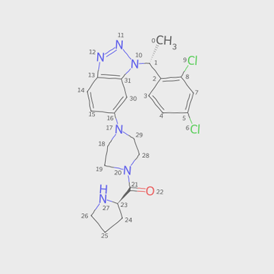 C[C@H](c1ccc(Cl)cc1Cl)n1nnc2ccc(N3CCN(C(=O)[C@H]4CCCN4)CC3)cc21